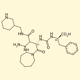 N=C(N)C(C(=O)NCC1CCCNC1)[C@H](NC(=O)N[C@H](Cc1ccccc1)C(=O)O)C(=O)N1CCCCCC1